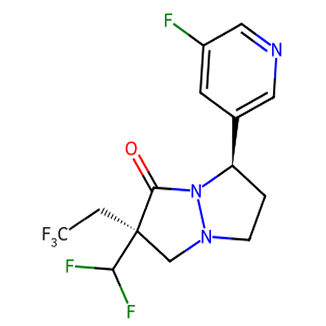 O=C1N2[C@@H](c3cncc(F)c3)CCN2C[C@@]1(CC(F)(F)F)C(F)F